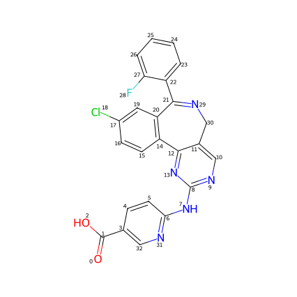 O=C(O)c1ccc(Nc2ncc3c(n2)-c2ccc(Cl)cc2C(c2ccccc2F)=NC3)nc1